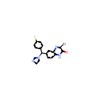 CCc1nc2cc(C(c3ccc(F)cc3)n3ccnc3)ccc2[nH]c1=O